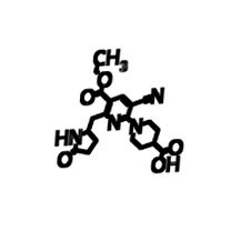 CCOC(=O)c1cc(C#N)c(N2CCC(C(=O)O)CC2)nc1CC1CCC(=O)N1